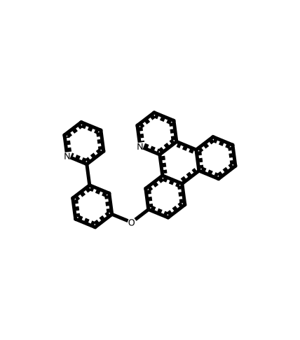 c1ccc(-c2cccc(Oc3ccc4c5ccccc5c5cccnc5c4c3)c2)nc1